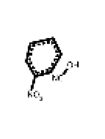 N#CO.O=[N+]([O-])c1ccccc1